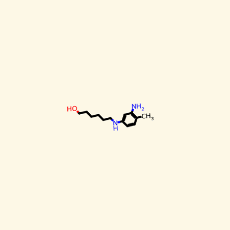 Cc1ccc(NCCCCCCO)cc1N